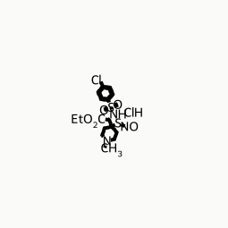 CCOC(=O)C(NS(=O)(=O)c1ccc(Cl)cc1)C1(SN=O)CCN(C)CC1.Cl